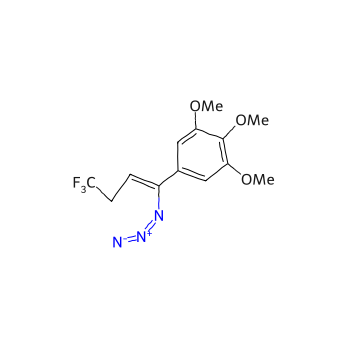 COc1cc(C(=CCC(F)(F)F)N=[N+]=[N-])cc(OC)c1OC